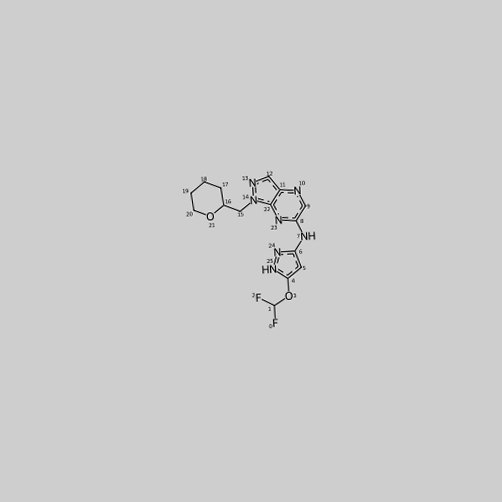 FC(F)Oc1cc(Nc2cnc3cnn(CC4CCCCO4)c3n2)n[nH]1